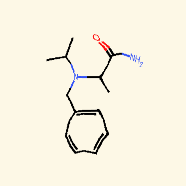 CC(C)N(Cc1ccccc1)C(C)C(N)=O